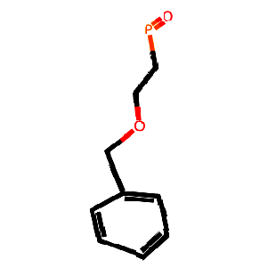 O=PCCOCc1ccccc1